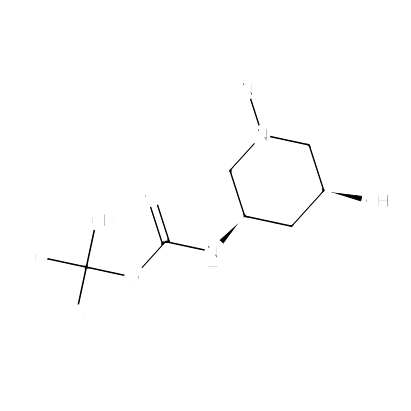 C[C@H]1C[C@@H](NC(=O)OC(C)(C)C)CN(N)C1